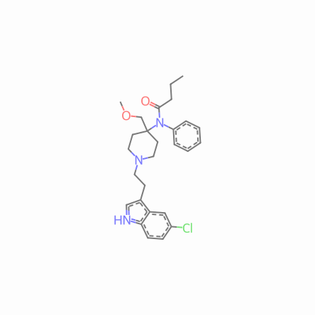 CCCC(=O)N(c1ccccc1)C1(COC)CCN(CCc2c[nH]c3ccc(Cl)cc23)CC1